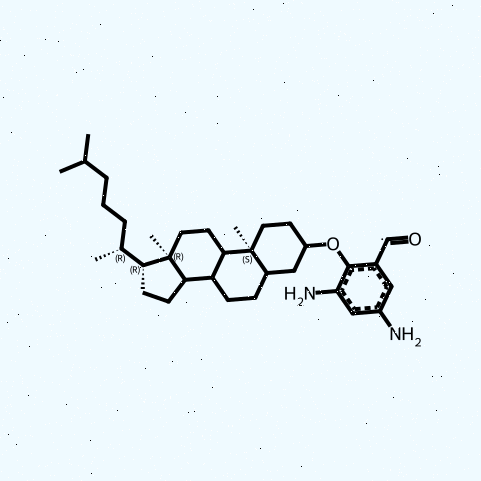 CC(C)CCC[C@@H](C)[C@H]1CCC2C3CCC4CC(Oc5c(N)cc(N)cc5[C]=O)CC[C@]4(C)C3CC[C@@]21C